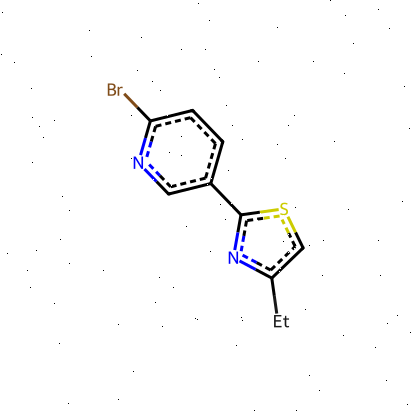 CCc1csc(-c2ccc(Br)nc2)n1